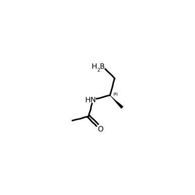 BC[C@@H](C)NC(C)=O